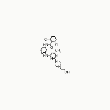 Cc1cc(Nc2cc(NC(=O)c3c(Cl)cccc3Cl)ccn2)nc(N2CCN(CCO)CC2)n1